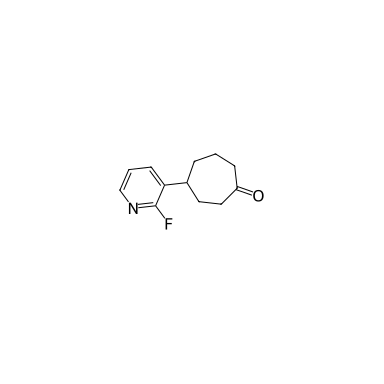 O=C1CCCC(c2cccnc2F)CC1